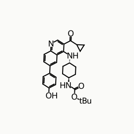 CC(C)(C)OC(=O)N[C@H]1CC[C@H](Nc2c(C(=O)C3CC3)cnc3ccc(-c4ccc(O)cc4)cc23)CC1